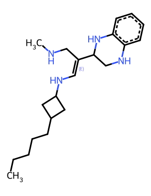 CCCCCC1CC(N/C=C(\CNC)C2CNc3ccccc3N2)C1